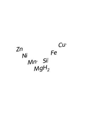 [Cu].[Fe].[MgH2].[Mn].[Ni].[Si].[Zn]